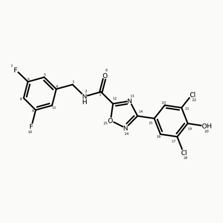 O=C(NCc1cc(F)cc(F)c1)c1nc(-c2cc(Cl)c(O)c(Cl)c2)no1